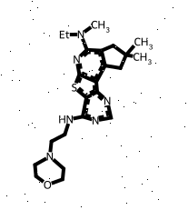 CCN(C)c1nc2sc3c(NCCN4CCOCC4)ncnc3c2c2c1CC(C)(C)C2